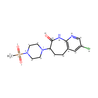 CS(=O)(=O)N1CCN(C2CCc3cc(Br)cnc3NC2=O)CC1